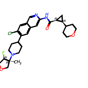 C[C@]1(N2CCC(c3cc4cc(NC(=O)[C@H]5C[C@H]5C5CCOCC5)ncc4cc3Cl)CC2)COC[C@H]1F